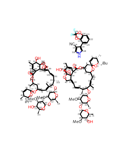 CC[C@H](C)[C@H]1O[C@]2(C=C[C@@H]1C)C[C@@H]1C[C@@H](C/C=C(\C)[C@@H](O[C@H]3C[C@H](OC)[C@@H](O[C@H]4C[C@H](OC)[C@@H](O)[C@H](C)O4)[C@H](C)O3)[C@@H](C)/C=C/C=C3\CO[C@@H]4[C@H](O)C(C)=C[C@@H](C(=O)O1)[C@]34O)O2.CO[C@H]1C[C@H](O[C@H]2[C@H](C)O[C@@H](O[C@@H]3/C(C)=C/C[C@@H]4C[C@@H](C[C@]5(C=C[C@H](C)[C@@H](C(C)C)O5)O4)OC(=O)[C@@H]4C=C(C)[C@@H](O)[C@H]5OC/C(=C\C=C\[C@@H]3C)[C@]54O)C[C@@H]2OC)O[C@@H](C)[C@@H]1O.N#Cc1c[nH]cc1-c1cccc2c1OC(F)(F)O2